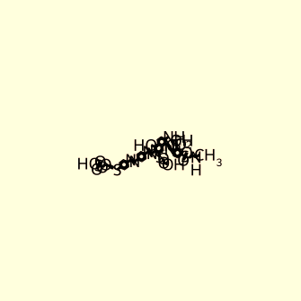 CNCCS(=O)(=O)c1ccc(N=Nc2c(N)ccc3c(O)c(N=Nc4ccc(N=Nc5ccc(SC#COOS(=O)(=O)O)cc5)cc4)c(SOOO)cc23)c(S(=O)(=O)O)c1